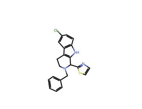 Clc1ccc2[nH]c3c(c2c1)CCN(Cc1ccccc1)C3c1nccs1